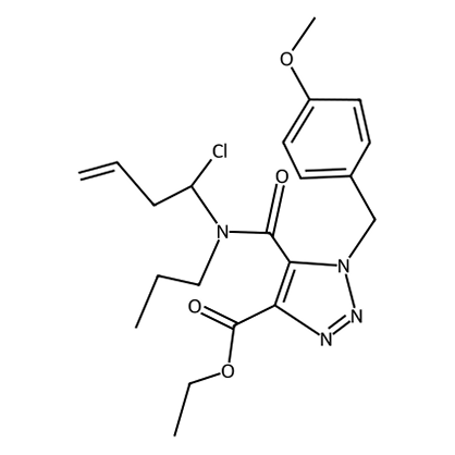 C=CCC(Cl)N(CCC)C(=O)c1c(C(=O)OCC)nnn1Cc1ccc(OC)cc1